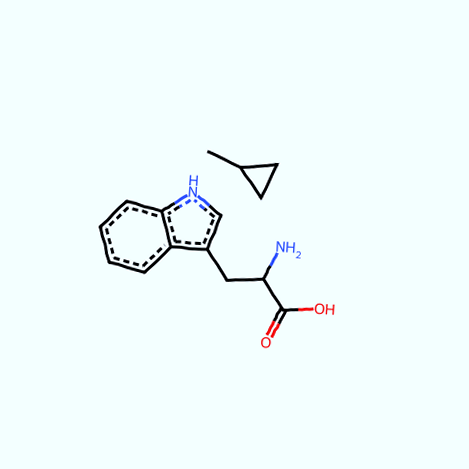 CC1CC1.NC(Cc1c[nH]c2ccccc12)C(=O)O